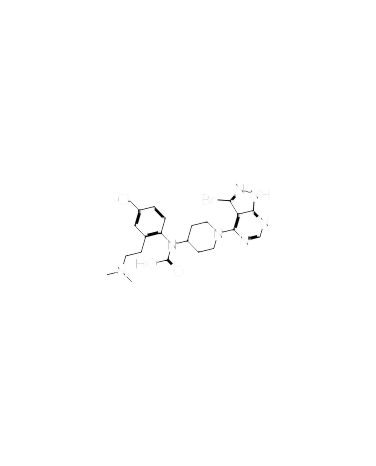 CN(C)CCc1cc(Cl)ccc1N(C(=O)O)C1CCN(c2ncnc3[nH]nc(Br)c23)CC1